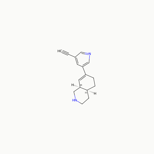 C#Cc1cncc(C2=C[C@@H]3CNCC[C@@H]3CC2)c1